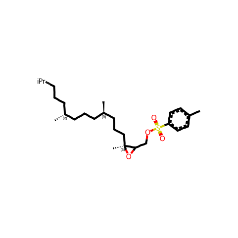 Cc1ccc(S(=O)(=O)OCC2O[C@@]2(C)CCC[C@H](C)CCC[C@H](C)CCCC(C)C)cc1